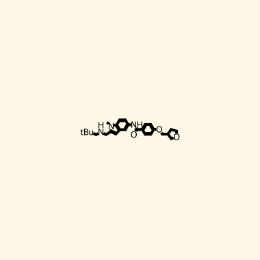 Cn1c(CNCC(C)(C)C)cc2cc(NC(=O)c3ccc(OCC4CCOC4)cc3)ccc21